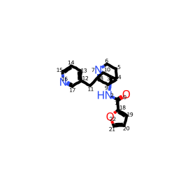 O=C(NC1C2CCN(CC2)C1Cc1cccnc1)c1ccco1